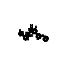 Cc1ccc(-c2ccnc3[nH]c(-c4n[nH]c5c(F)cc(-c6cncc(CN7CCCCC7)c6)cc45)nc23)s1